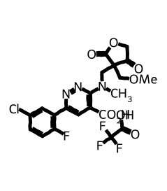 COCC1(CN(C)c2nnc(-c3cc(Cl)ccc3F)cc2C(=O)O)C(=O)COC1=O.O=C(O)C(F)(F)F